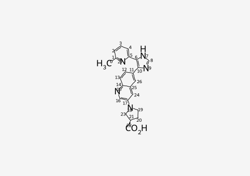 Cc1cccc(-c2[nH]cnc2-c2ccc3ncc(N4CC[C@@H](C(=O)O)C4)cc3c2)n1